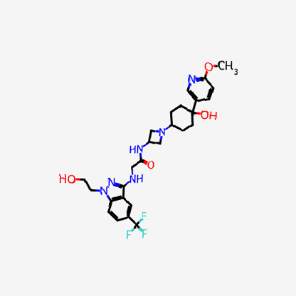 COc1ccc(C2(O)CCC(N3CC(NC(=O)CNc4nn(CCO)c5ccc(C(F)(F)F)cc45)C3)CC2)cn1